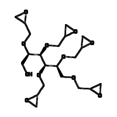 OC[C@@H](OCC1CO1)[C@@H](OCC1CO1)[C@H](OCC1CO1)[C@H](COCC1CO1)OCC1CO1